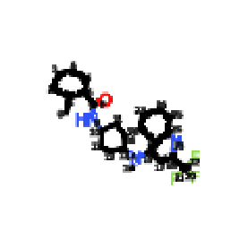 Cc1ccccc1C(=O)N[C@H]1CC[C@@H](N(C)c2cc(C(F)(F)F)nc3ccccc23)CC1